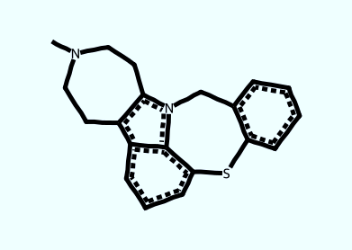 CN1CCc2c(n3c4c(cccc24)Sc2ccccc2C3)CC1